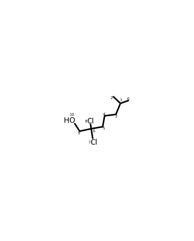 CC(C)CCCC(Cl)(Cl)CO